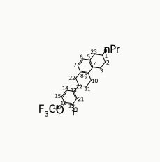 CCCC1CCc2c(ccc3c2CCC(c2ccc(OC(F)(F)F)c(F)c2)C3)C1